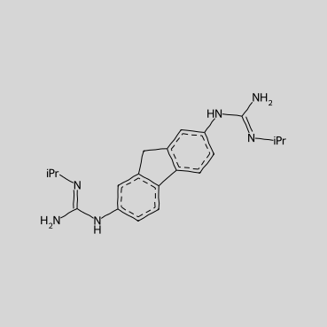 CC(C)N=C(N)Nc1ccc2c(c1)Cc1cc(NC(N)=NC(C)C)ccc1-2